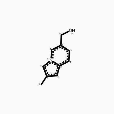 Cc1cc2ccc(CO)cn2c1